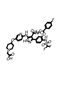 C[C@H](Oc1cc(-c2n[nH]c(Nc3ccc(OC4CCN(CC(=O)O)CC4)cn3)c2C(N)=O)ccc1NS(=O)(=O)C(F)F)c1ccc(F)cc1